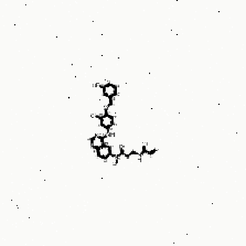 C=CC(=O)NCCC(=O)N(C)c1ccc2ncnc(Nc3ccc(OCc4cccc(F)c4)c(Cl)c3)c2c1